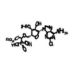 CCOC(=O)[C@@H](OC[C@H]1O[C@@H](n2cnc3c(N)nc(Cl)nc32)[C@H](O)[C@@H]1O)P(=O)(O)O